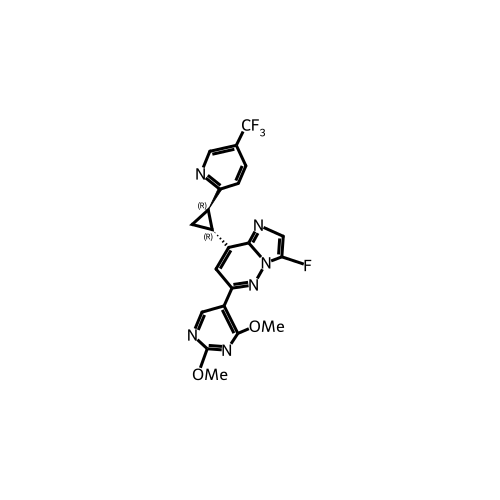 COc1ncc(-c2cc([C@@H]3C[C@H]3c3ccc(C(F)(F)F)cn3)c3ncc(F)n3n2)c(OC)n1